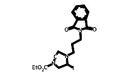 CCOC(=O)N1CCN(CCCN2C(=O)c3ccccc3C2=O)C(I)C1